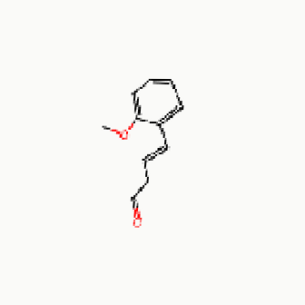 COc1ccccc1/C=C/CC=O